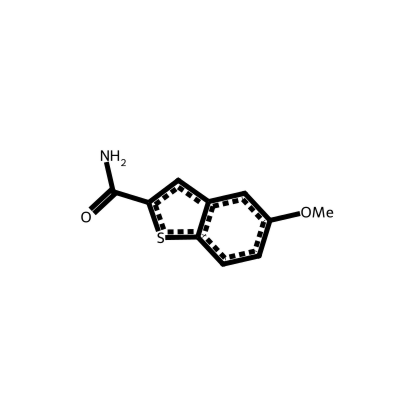 COc1ccc2sc(C(N)=O)cc2c1